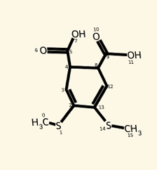 CSC1=CC(C(=O)O)C(C(=O)O)C=C1SC